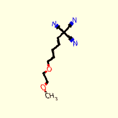 COCCOCCCCCC(C#N)(C#N)C#N